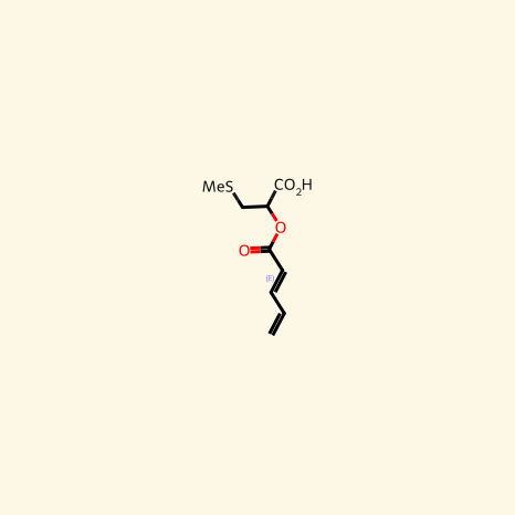 C=C/C=C/C(=O)OC(CSC)C(=O)O